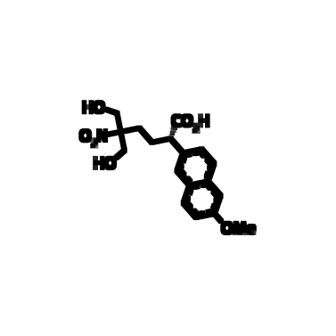 COc1ccc2cc([C@H](CCC(CO)(CO)[N+](=O)[O-])C(=O)O)ccc2c1